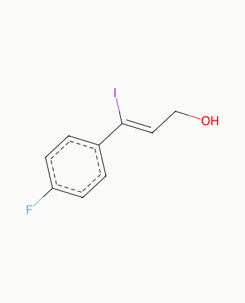 OCC=C(I)c1ccc(F)cc1